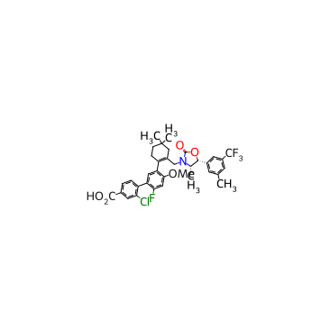 COc1cc(F)c(-c2ccc(C(=O)O)cc2Cl)cc1C1=C(CN2C(=O)O[C@H](c3cc(C)cc(C(F)(F)F)c3)[C@@H]2C)CC(C)(C)CC1